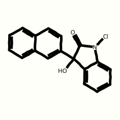 O=C1N(Cl)c2ccccc2C1(O)c1ccc2ccccc2c1